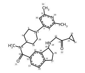 Cc1cc(N2CCC(N(C)C(=O)c3ccc4c(c3)C(NCC(=O)C3CC3)CC4)CC2)cc(C)n1